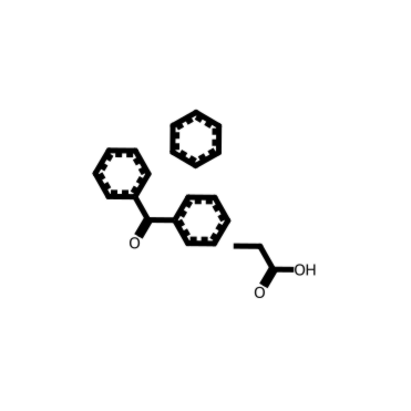 CCC(=O)O.O=C(c1ccccc1)c1ccccc1.c1ccccc1